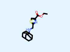 CCOC(=O)c1csc(CNC23CC4CC(CC(C4)C2)C3)n1